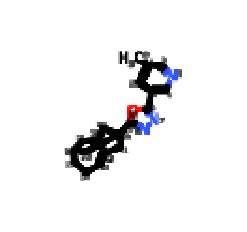 Cc1cncc(-c2nnc(C34CC5=CCCC(CC5C3)C4)o2)c1